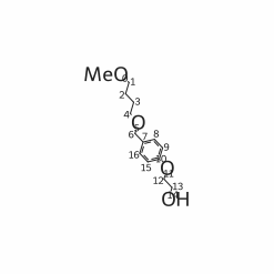 COCCCCOCc1ccc(OCCO)cc1